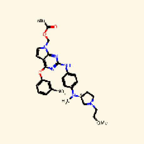 CCCCC(=O)OCn1ccc2c(Oc3cccc([N+](=O)[O-])c3)nc(Nc3ccc(N(C)[C@H]4CCN(CCOC)C4)cc3)nc21